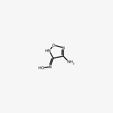 Nc1no[nH]c1=NO